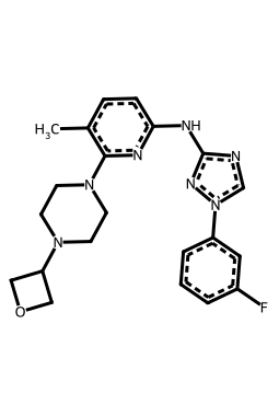 Cc1ccc(Nc2ncn(-c3cccc(F)c3)n2)nc1N1CCN(C2COC2)CC1